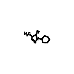 CC1C=NN(C2CCCCC2)C1Br